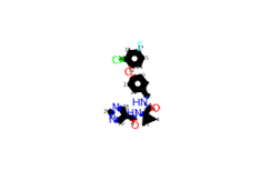 O=C(NC1(C(=O)NCc2ccc(Oc3ccc(F)cc3Cl)cc2)CC1)c1cncnc1